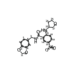 O=C(NCc1ccc2c(c1)OCO2)c1cc([N+](=O)[O-])ccc1NC1CCOC1